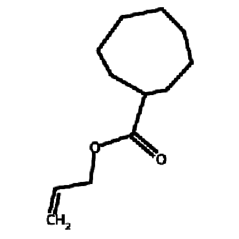 C=CCOC(=O)C1CCCCCCC1